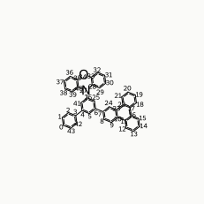 c1ccc(-c2cc(-c3ccc4c5ccccc5c5ccccc5c4c3)cc(N3c4ccccc4Oc4ccccc43)c2)cc1